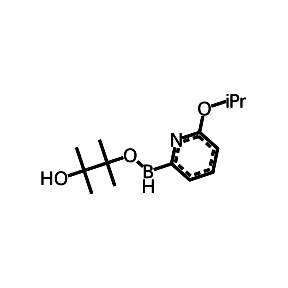 CC(C)Oc1cccc(BOC(C)(C)C(C)(C)O)n1